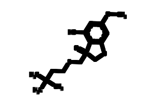 COc1cc(O)c2c(c1)OCP2(=O)CSCCC(C)(C)C